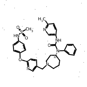 Cc1ccc(NC(=O)N(c2ccccc2)[C@@H]2CCCN(Cc3ccc(Oc4ccc(NS(C)(=O)=O)cc4)nc3)CC2)cn1